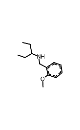 CCC(CC)NCc1ccccc1OC